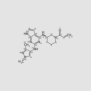 C=CC(=O)N1CCC[C@@H](Nc2nc(Nc3cn(C)nc3C)nc3[nH]ccc23)C1